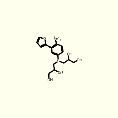 Nc1ccc(N(CC(O)CO)CC(O)CO)cc1-c1ccco1